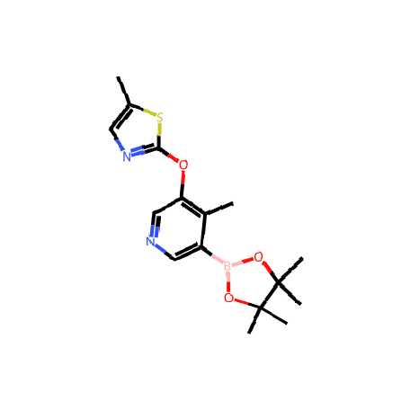 Cc1cnc(Oc2cncc(B3OC(C)(C)C(C)(C)O3)c2C)s1